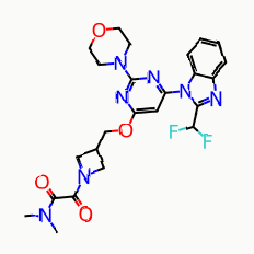 CN(C)C(=O)C(=O)N1CC(COc2cc(-n3c(C(F)F)nc4ccccc43)nc(N3CCOCC3)n2)C1